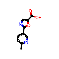 Cc1ccc(-c2ncc(C(=O)O)o2)cn1